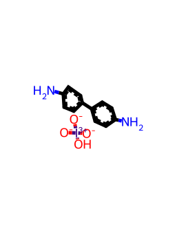 Nc1ccc(-c2ccc(N)cc2)cc1.[O-][I+3]([O-])([O-])O